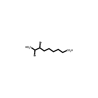 O=C(O)CCCCCC(Br)C(Br)C(=O)O